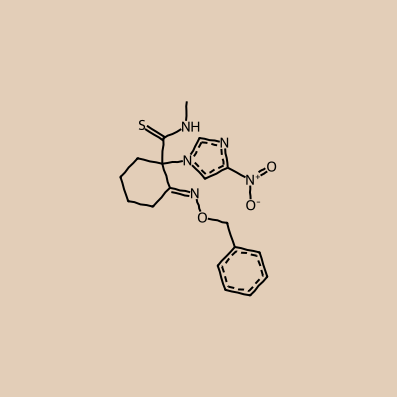 CNC(=S)C1(n2cnc([N+](=O)[O-])c2)CCCCC1=NOCc1ccccc1